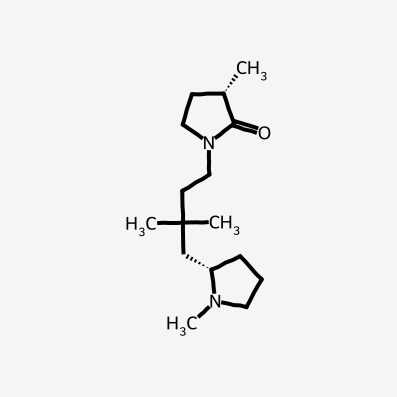 C[C@H]1CCN(CCC(C)(C)C[C@@H]2CCCN2C)C1=O